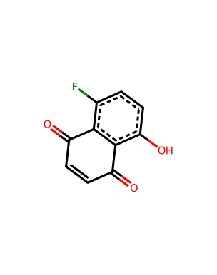 O=C1C=CC(=O)c2c(F)ccc(O)c21